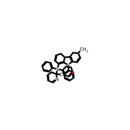 CC1C=CC2=C(C1)C1CC=CC([Si](C3=CC=CCC3)(c3ccccc3)C3(C)CC=CC=N3)=C1N2c1ccccc1